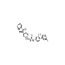 CN(C)c1ccc(NC(=S)Nc2ccc(NC(=O)c3ccccn3)cc2)cc1Cl